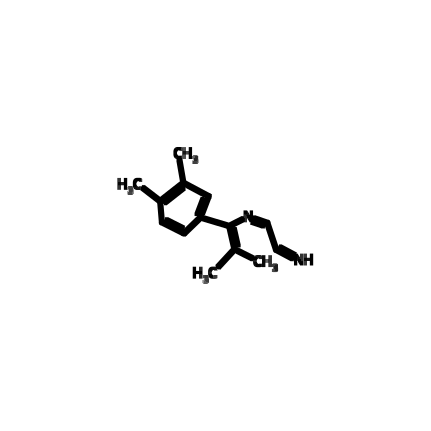 CC(C)=C(/N=C\C=N)c1ccc(C)c(C)c1